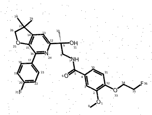 COc1cc(C(=O)NC[C@](C)(O)c2cc3c(c(-c4ccc(F)cc4)n2)OCC3(C)C)ccc1OCCF